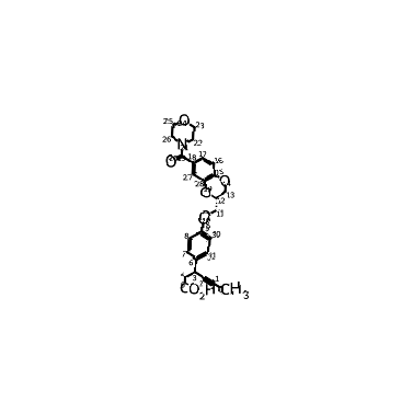 CC#CC(CC(=O)O)c1ccc(OC[C@H]2COc3ccc(C(=O)N4CCOCC4)cc3O2)cc1